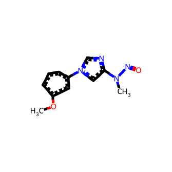 COc1cccc(-n2cnc(N(C)N=O)c2)c1